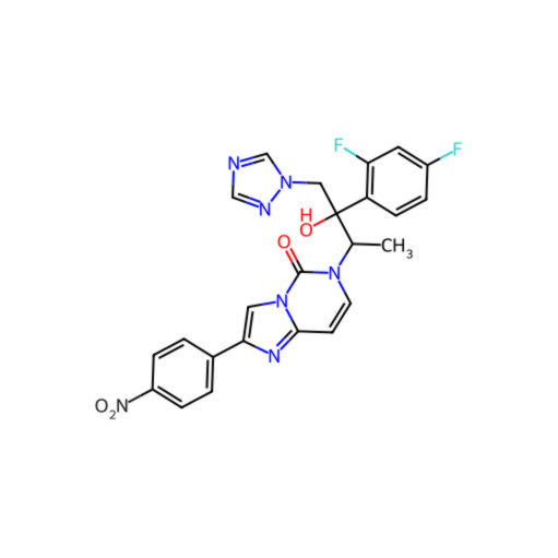 CC(n1ccc2nc(-c3ccc([N+](=O)[O-])cc3)cn2c1=O)C(O)(Cn1cncn1)c1ccc(F)cc1F